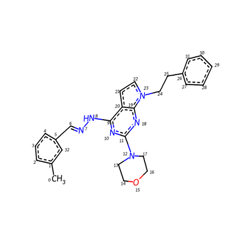 Cc1cccc(C=NNc2nc(N3CCOCC3)nc3c2ccn3CCc2ccccc2)c1